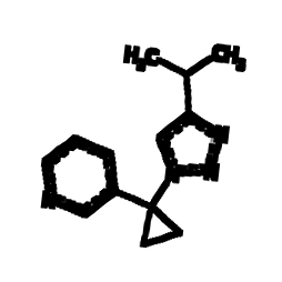 CC(C)c1cn(C2(c3cccnc3)CC2)nn1